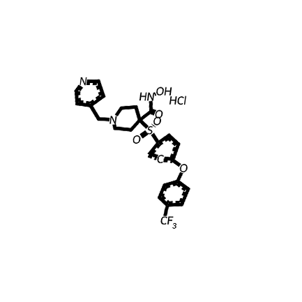 Cl.O=C(NO)C1(S(=O)(=O)c2ccc(Oc3ccc(C(F)(F)F)cc3)cc2)CCN(Cc2ccncc2)CC1